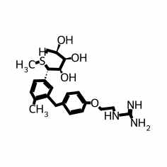 Cc1ccc([C@H]2[C@H](O)[C@H](O)[C@H](O)C[SH]2C)cc1Cc1ccc(OCCNC(=N)N)cc1